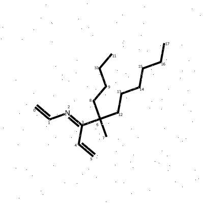 C=C/N=C(\C=C)C(C)(CCCC)CCCCCC